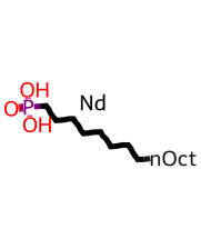 CCCCCCCCCCCCCCCCP(=O)(O)O.[Nd]